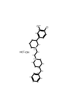 Cl.Cl.Clc1ccc(C2CCCN(CCN3CCC(Cc4ccccc4)CC3)C2)cc1Cl